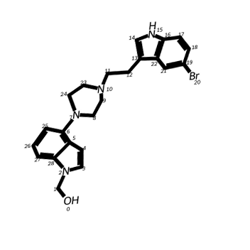 OCn1ccc2c(N3CCN(CCc4c[nH]c5ccc(Br)cc45)CC3)cccc21